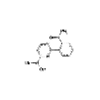 CC(C)(C)N(O)c1ccnc(-c2ccccc2C(N)=O)n1